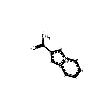 CC(=O)c1cc2ccccn2c1